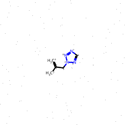 C=C(C)Cn1ncnn1